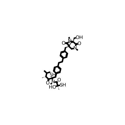 CC(C)[C@@H](C)C(=O)[C@@](S)(Cc1ccc(CCc2ccc(C[C@]34CN(C)C(=O)[C@](CO)(S3)N(C)C4=O)cc2)cc1)N(C)C(=O)[C@](C)(O)S